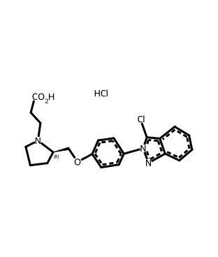 Cl.O=C(O)CCN1CCC[C@@H]1COc1ccc(-n2nc3ccccc3c2Cl)cc1